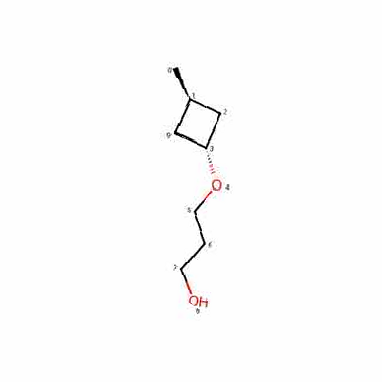 C[C@H]1C[C@H](OCCCO)C1